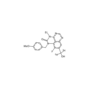 [2H]C([2H])(O)c1cc2ncnc3c2c(c1F)N(Cc1ccc(OC)cc1)C(=O)N3CC